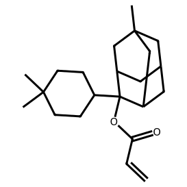 C=CC(=O)OC1(C2CCC(C)(C)CC2)C2CC3CC1CC(C)(C3)C2